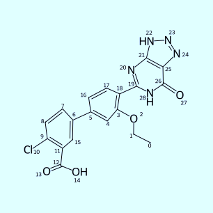 CCOc1cc(-c2ccc(Cl)c(C(=O)O)c2)ccc1-c1nc2[nH]nnc2c(=O)[nH]1